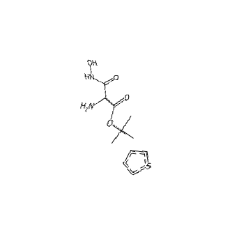 CC(C)(C)OC(=O)C(N)C(=O)NO.c1ccsc1